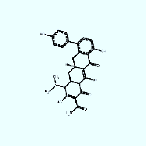 CN(C)[C@@H]1C(O)=C(C(N)=O)C(=O)C2C(O)=C3C(=O)c4c(O)ccc(-c5ccc(O)cc5)c4C[C@H]3CC21